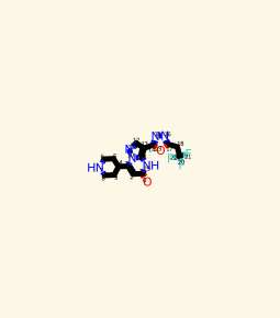 O=c1cc(C2CCNCC2)n2ncc(-c3nnc(CC(F)(F)F)o3)c2[nH]1